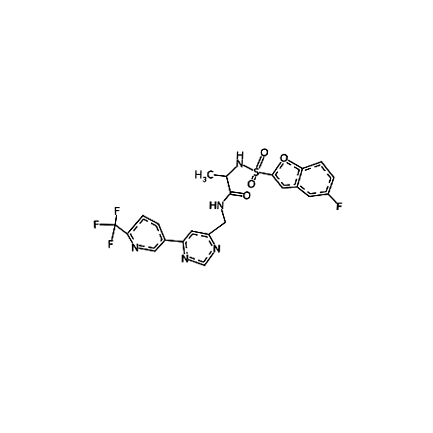 CC(NS(=O)(=O)c1cc2cc(F)ccc2o1)C(=O)NCc1cc(-c2ccc(C(F)(F)F)nc2)ncn1